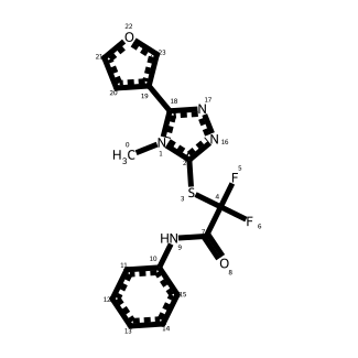 Cn1c(SC(F)(F)C(=O)Nc2ccccc2)nnc1-c1ccoc1